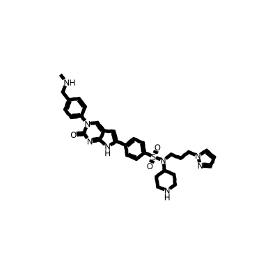 CNCc1ccc(-n2cc3cc(-c4ccc(S(=O)(=O)N(CCCn5cccn5)C5CCNCC5)cc4)[nH]c3nc2=O)cc1